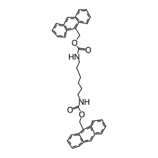 O=C(NCCCCCCNC(=O)OCc1c2ccccc2cc2ccccc12)OCc1c2ccccc2cc2ccccc12